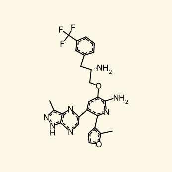 Cc1occc1-c1nc(N)c(OC[C@@H](N)Cc2cccc(C(F)(F)F)c2)cc1-c1cnc2[nH]nc(C)c2n1